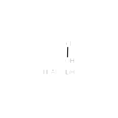 OCl.[AlH3].[LiH]